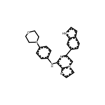 c1cn2cc(-c3ccc4cc[nH]c4c3)nc(Nc3ccc(N4CCOCC4)cc3)c2n1